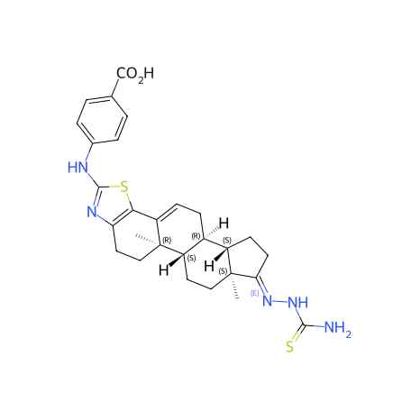 C[C@]12CCc3nc(Nc4ccc(C(=O)O)cc4)sc3C1=CC[C@@H]1[C@@H]2CC[C@]2(C)/C(=N/NC(N)=S)CC[C@@H]12